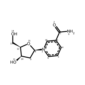 NC(=O)c1ccc[n+]([C@H]2C[C@@H](O)[C@@H](CO)O2)c1